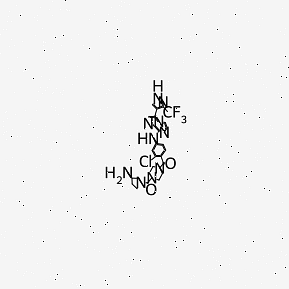 N[C@@H]1CCN(C(=O)N2CCN(C(=O)c3ccc(Nc4nccn5c(-c6c[nH]nc6C(F)(F)F)cnc45)cc3Cl)CC2)C1